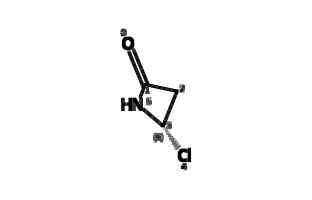 O=C1C[C@H](Cl)N1